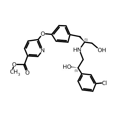 COC(=O)c1ccc(Oc2ccc(C[C@@H](CO)NC[C@@H](O)c3cccc(Cl)c3)cc2)nc1